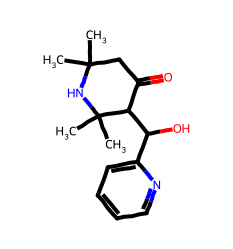 CC1(C)CC(=O)C(C(O)c2ccccn2)C(C)(C)N1